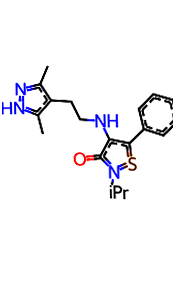 Cc1n[nH]c(C)c1CCNc1c(-c2ccccc2)sn(C(C)C)c1=O